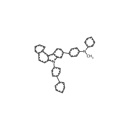 CN(c1ccccc1)c1ccc(-c2ccc3c4c5ccccc5ccc4n(-c4ccc(-c5ccccc5)cc4)c3c2)cc1